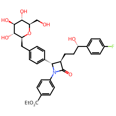 CCOC(=O)c1ccc(N2C(=O)[C@H](CC[C@H](O)c3ccc(F)cc3)[C@H]2c2ccc(C[C@@H]3O[C@H](CO)[C@@H](O)[C@H](O)[C@H]3O)cc2)cc1